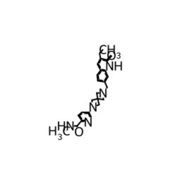 CCc1cc2ccc(CN3CC4(C3)CN(c3ccc(C(=O)NC)nc3)C4)cc2[nH]c1=O